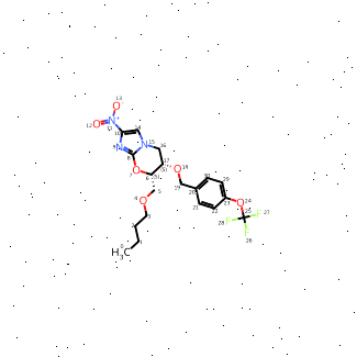 CCCCOC[C@@H]1Oc2nc([N+](=O)[O-])cn2C[C@@H]1OCc1ccc(OC(F)(F)F)cc1